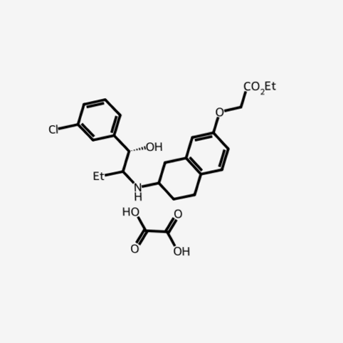 CCOC(=O)COc1ccc2c(c1)CC(NC(CC)[C@@H](O)c1cccc(Cl)c1)CC2.O=C(O)C(=O)O